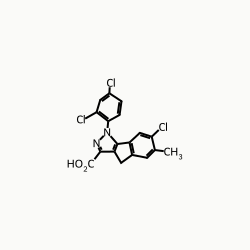 Cc1cc2c(cc1Cl)-c1c(c(C(=O)O)nn1-c1ccc(Cl)cc1Cl)C2